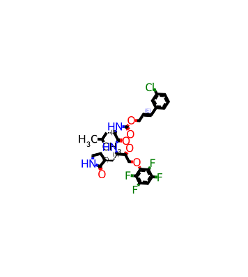 CC(C)C[C@H](NC(=O)OC/C=C/c1cccc(Cl)c1)C(=O)N[C@@H](C[C@@H]1CCNC1=O)C(=O)COc1c(F)c(F)cc(F)c1F